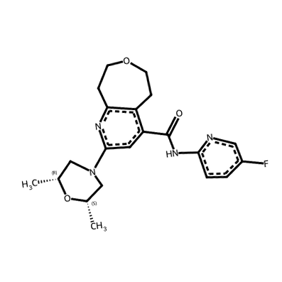 C[C@@H]1CN(c2cc(C(=O)Nc3ccc(F)cn3)c3c(n2)CCOCC3)C[C@H](C)O1